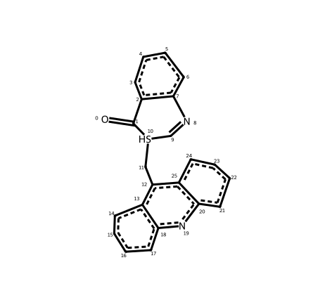 O=C1c2ccccc2N=C[SH]1Cc1c2ccccc2nc2ccccc12